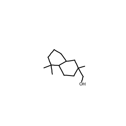 CC1(CO)CCC2C(CCCC2(C)C)C1